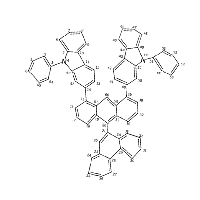 c1ccc(-n2c3ccccc3c3ccc(-c4cccc5c(-c6cc7ccccc7c7ccccc67)c6cccc(-c7ccc8c9ccccc9n(-c9ccccc9)c8c7)c6cc45)cc32)cc1